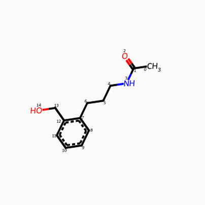 CC(=O)NCCCc1ccccc1CO